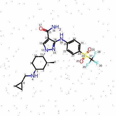 C[C@H]1C[C@@H](NCC2CC2)CC[C@@H]1n1cc(C(N)=O)c(Nc2ccc(S(=O)(=O)C(F)(F)F)cc2)n1